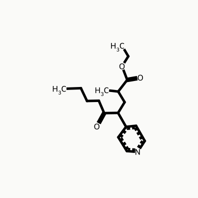 CCCCC(=O)C(CC(C)C(=O)OCC)c1ccncc1